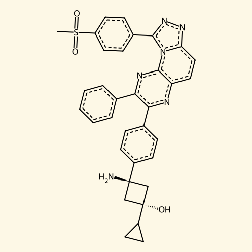 CS(=O)(=O)c1ccc(-c2nnc3ccc4nc(-c5ccc([C@]6(N)C[C@@](O)(C7CC7)C6)cc5)c(-c5ccccc5)nc4n23)cc1